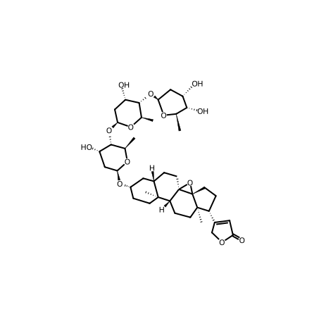 C[C@H]1O[C@@H](O[C@H]2[C@@H](O)C[C@H](O[C@H]3[C@@H](O)C[C@H](O[C@H]4CC[C@@]5(C)[C@@H](CC[C@]67O[C@@]68CC[C@H](C6=CC(=O)OC6)[C@@]8(C)CC[C@H]57)C4)O[C@@H]3C)O[C@@H]2C)C[C@H](O)[C@@H]1O